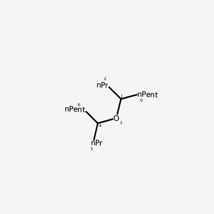 CCCCCC(CCC)OC(CCC)CCCCC